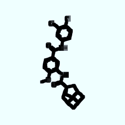 COc1ccc(C(=O)Nc2ccc(Cl)c(Cl)c2)cc1NC(=O)C12CC3CC4CC(C1)C43C2